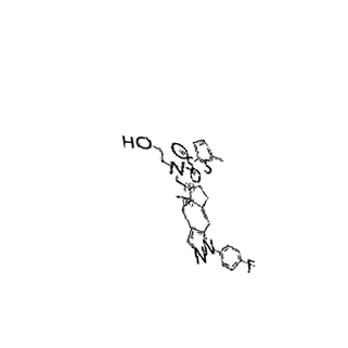 Cc1ccc(S(=O)(=O)N(CCO)C[C@H]2CCC3=Cc4c(cnn4-c4ccc(F)cc4)C[C@@]32C)s1